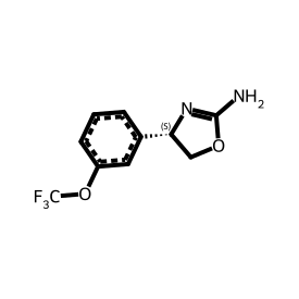 NC1=N[C@@H](c2cccc(OC(F)(F)F)c2)CO1